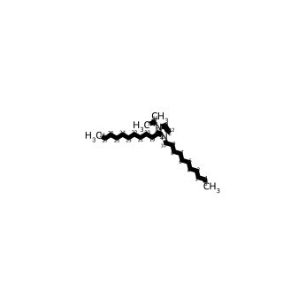 CCCCCCCCCCC[n+]1ccn(C(C)C)c1CCCCCCCCCC